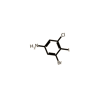 Nc1cc(Cl)c(I)c(Br)c1